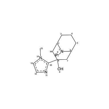 CC(C)N1C2CCCC1CC(O)(c1nccn1C)C2